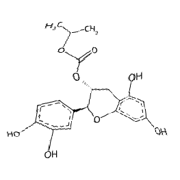 CC(C)OC(=O)O[C@@H]1Cc2c(O)cc(O)cc2O[C@H]1c1ccc(O)c(O)c1